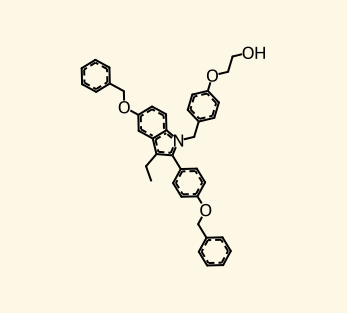 CCc1c(-c2ccc(OCc3ccccc3)cc2)n(Cc2ccc(OCCO)cc2)c2ccc(OCc3ccccc3)cc12